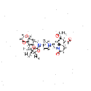 COc1cc(C=O)c2ccc(=O)n(CCN3CCC(N(Cc4ccc5c(c4)OCCO5)C(=O)OC(C)(C)C)CC3)c2c1